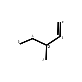 C=CC(C)CC